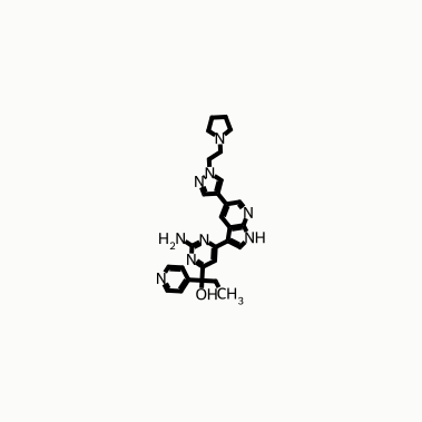 CCC(O)(c1ccncc1)c1cc(-c2c[nH]c3ncc(-c4cnn(CCN5CCCC5)c4)cc23)nc(N)n1